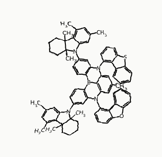 Cc1cc2c3c(c1)N(c1cccc4sc5ccccc5c14)c1cc(N4c5cc(C)cc(C)c5C5(C)CCCCC45C)ccc1B3c1ccc(N3c4cc(C)cc(C)c4C4(C)CCCCC34C)cc1N2c1cccc2oc3ccccc3c12